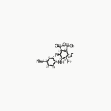 N#Cc1ccc(Nc2c(F)c(F)c3c(c2F)C(=O)OC3=O)cc1